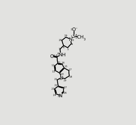 C[S+]([O-])N1CCC(CNC(=O)c2ccc3c(c2)CCCN3Cc2ccncc2)CC1